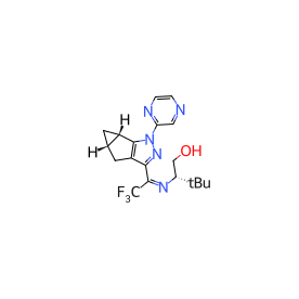 CC(C)(C)[C@@H](CO)/N=C(\c1nn(-c2cnccn2)c2c1C[C@@H]1C[C@H]21)C(F)(F)F